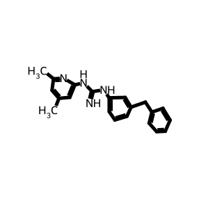 Cc1cc(C)nc(NC(=N)Nc2cccc(Cc3ccccc3)c2)c1